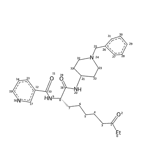 CCC(=O)CCCCC[C@H](NC(=O)c1cccnc1)C(=O)NC1CCN(Cc2ccccc2)CC1